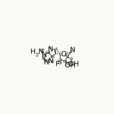 N#C[C@]1(CO)O[C@@H](c2cnc3n(N)cnnc2-3)[C@H](F)[C@@H]1O